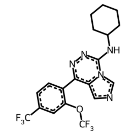 FC(F)(F)Oc1cc(C(F)(F)F)ccc1-c1nnc(NC2CCCCC2)n2cncc12